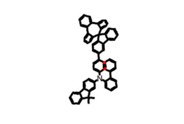 CC1(C)c2ccccc2-c2ccc(N(c3ccc(-c4ccc5c(c4)-c4ccccc4C54c5ccccc5-c5ccccc5-c5ccccc54)cc3)c3ccccc3-c3ccccc3)cc21